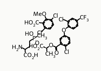 COc1c(Cl)ccc(Cl)c1C(=O)O.CP(=O)(O)CCC(N)C(=O)O.C[C@H](OC(=O)c1cc(Oc2ccc(C(F)(F)F)cc2Cl)ccc1Cl)C(=O)O